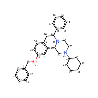 c1ccc(COc2ccc(CC(c3ccccc3)N3CCN(C4CCCCC4)CC3)cc2)cc1